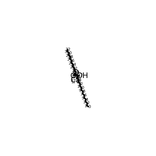 CCCCCCCCCCCCCCCCC(O)C(=O)OCCCCCCCCCCCC.[Ca]